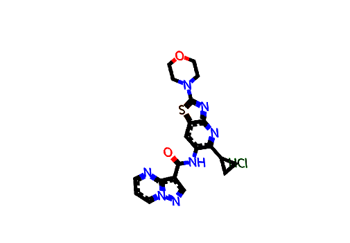 Cl.O=C(Nc1cc2sc(N3CCOCC3)nc2nc1C1CC1)c1cnn2cccnc12